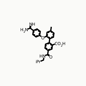 Cc1ccc(-c2ccc(C(=O)NCC(C)C)cc2C(=O)O)c(Oc2ccc(C(=N)N)cc2)c1